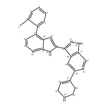 Fc1ccccc1-c1ccnc2[nH]c(-c3n[nH]c4cnc(C5=CCNCC5)cc34)cc12